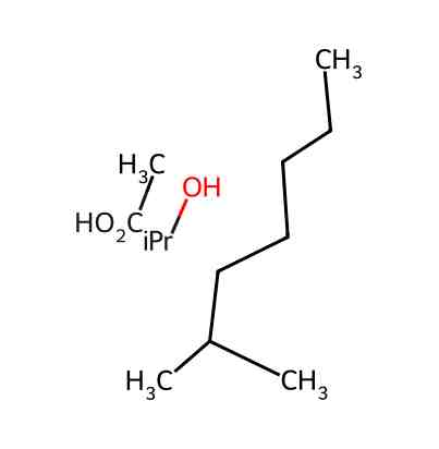 CC(=O)O.CC(C)O.CCCCCC(C)C